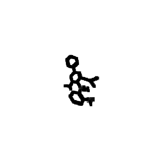 CNC1=C(NC2C(C(C)C)=CC(C3=CCCC=C3)CC2C(C)C)CCC=C1